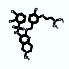 CN(C)CCOc1cc(COc2nc3c(cc2NS(=O)(=O)c2cccc(Cl)c2Cl)CN(C)CC3)ccc1Cl